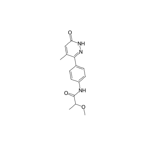 COC(C)C(=O)Nc1ccc(-c2n[nH]c(=O)cc2C)cc1